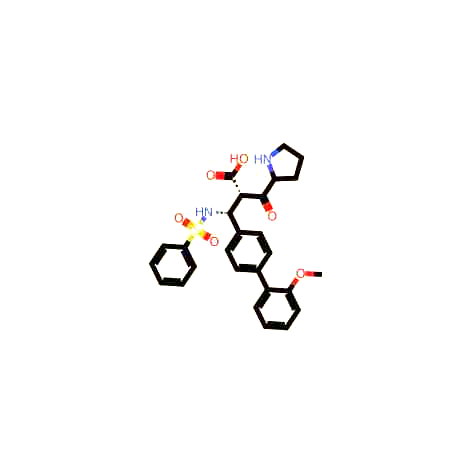 COc1ccccc1-c1ccc([C@H](NS(=O)(=O)c2ccccc2)[C@H](C(=O)O)C(=O)C2CCCN2)cc1